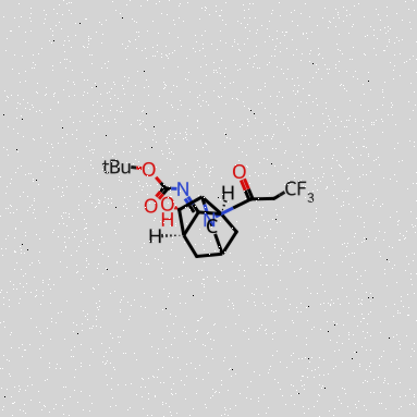 CC(C)(C)OC(=O)/N=C1\[C@H]2CC3C[C@@H]1C([C@H]2O)N(C(=O)CC(F)(F)F)C3